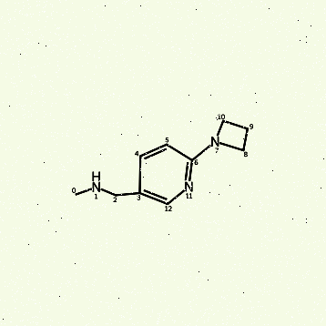 CNCc1ccc(N2CCC2)nc1